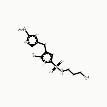 CC(=O)Nc1ncc(Cc2cc(S(=O)(=O)NCCCO)sc2Br)s1